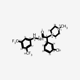 CN1CCN(C(C(=O)NNc2cc(C(F)(F)F)cc(C(F)(F)F)c2)c2cccc(Cl)c2)CC1